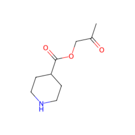 CC(=O)COC(=O)C1CCNCC1